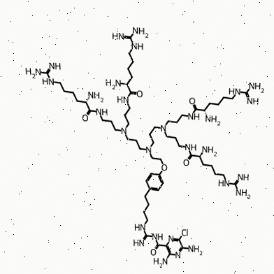 N=C(N)NCCCC[C@H](N)C(=O)NCCCN(CCCNC(=O)[C@@H](N)CCCCNC(=N)N)CCCN(CCCN(CCCNC(=O)[C@@H](N)CCCCNC(=N)N)CCCNC(=O)[C@@H](N)CCCCNC(=N)N)CCOc1ccc(CCCCNC(=N)NC(=O)c2nc(Cl)c(N)nc2N)cc1